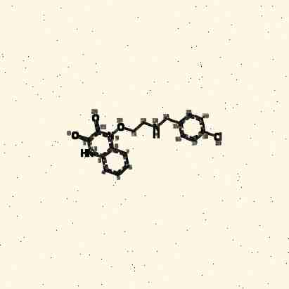 O=c1[nH]c2ccccc2n(OCCNCc2ccc(Cl)cc2)c1=O